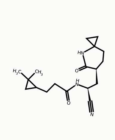 CC1(C)CC1CCC(=O)N[C@H](C#N)C[C@@H]1CCC2(CC2)NC1=O